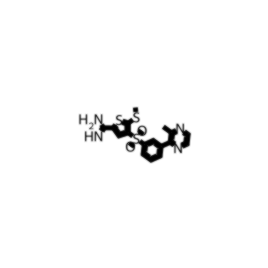 CSc1sc(C(=N)N)cc1S(=O)(=O)c1cccc(-c2nccnc2C)c1